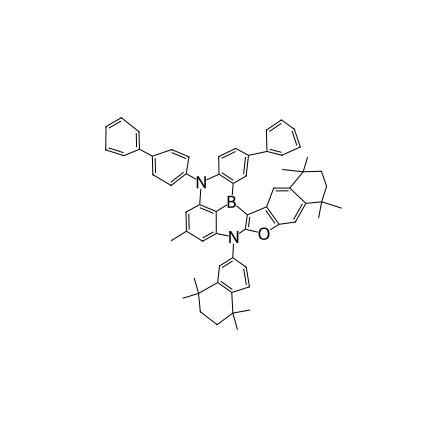 Cc1cc2c3c(c1)N(c1ccc4c(c1)C(C)(C)CCC4(C)C)c1oc4cc5c(cc4c1B3c1cc(-c3ccccc3)ccc1N2c1ccc(-c2ccccc2)cc1)C(C)(C)CCC5(C)C